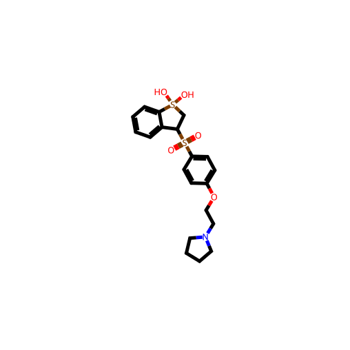 O=S(=O)(c1ccc(OCCN2CCCC2)cc1)C1CS(O)(O)c2ccccc21